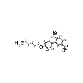 CCCCCCOc1ccc(-c2cc(CBr)ccc2CBr)cc1